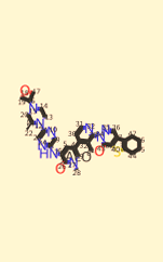 CC(=O)OCc1c(-c2cc(Nc3cnc(N4CCN(C5COC5)C[C@@H]4C)cn3)c(=O)n(C)c2)ccnc1-n1ncc2c3c(sc2c1=O)CCCC3